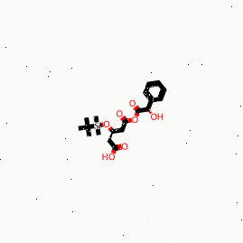 CC(C)(C)[Si](C)(C)O[C@H](CC(=O)O)CC(=O)OC(=O)[C@H](O)c1ccccc1